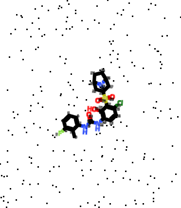 Cc1c(F)cccc1NC(=O)Nc1ccc(Cl)c(S(=O)(=O)C2CC3CCC(C2)N3C)c1O